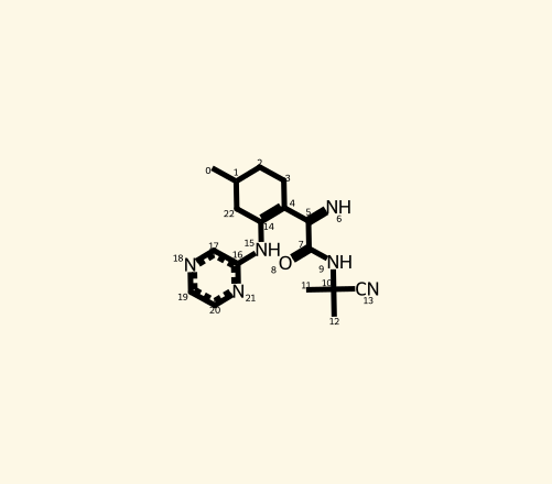 CC1CCC(C(=N)C(=O)NC(C)(C)C#N)=C(Nc2cnccn2)C1